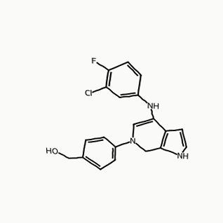 OCc1ccc(N2C=C(Nc3ccc(F)c(Cl)c3)c3cc[nH]c3C2)cc1